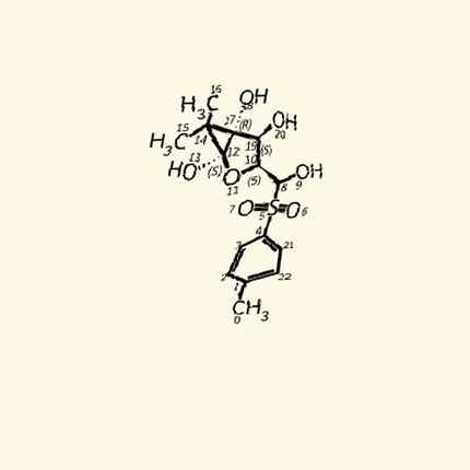 Cc1ccc(S(=O)(=O)C(O)[C@H]2O[C@@]3(O)C(C)(C)[C@@]3(O)[C@H]2O)cc1